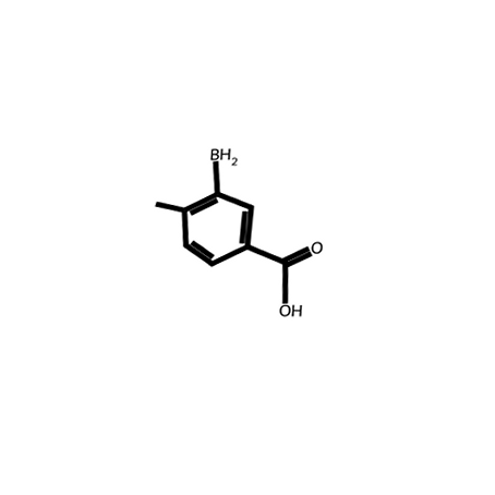 Bc1cc(C(=O)O)ccc1C